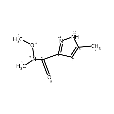 CON(C)C(=O)c1cc(C)[nH]n1